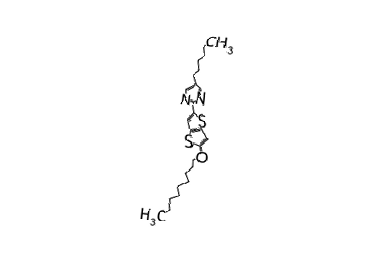 CCCCCCCCCOc1cc2sc(-c3ncc(CCCCCC)cn3)cc2s1